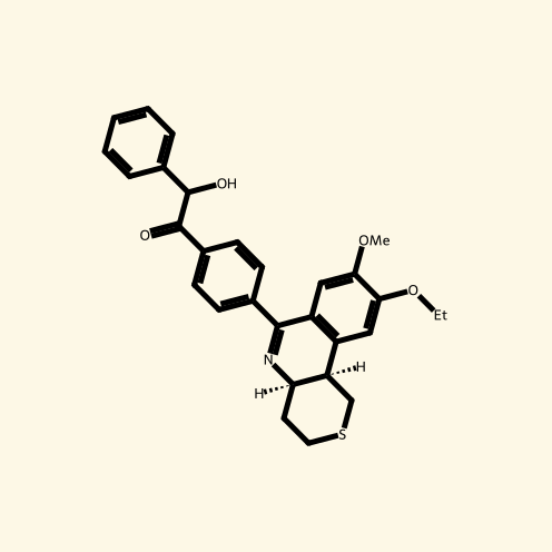 CCOc1cc2c(cc1OC)C(c1ccc(C(=O)C(O)c3ccccc3)cc1)=N[C@@H]1CCSC[C@H]21